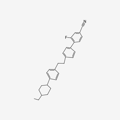 CCC1CCC(c2ccc(CCc3ccc(-c4ccc(C#N)cc4F)cc3)cc2)CC1